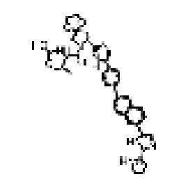 CC(C)C(NC(=O)O)C(=O)N1CC2(C[C@H]1c1ncc(-c3ccc(-c4ccc5cc(-c6cnc([C@@H]7CCCN7)[nH]6)ccc5c4)cc3)[nH]1)OCCO2